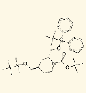 CC(C)(C)OC(=O)N1CC[C@@H](CO[Si](C)(C)C(C)(C)C)C[C@@H]1CO[Si](c1ccccc1)(c1ccccc1)C(C)(C)C